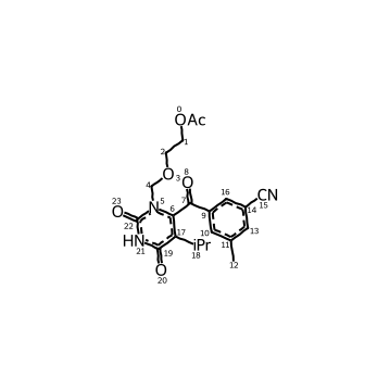 CC(=O)OCCOCn1c(C(=O)c2cc(C)cc(C#N)c2)c(C(C)C)c(=O)[nH]c1=O